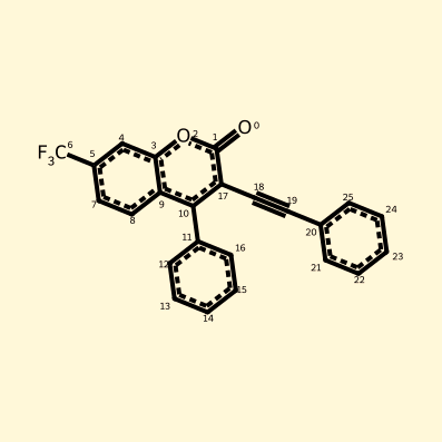 O=c1oc2cc(C(F)(F)F)ccc2c(-c2ccccc2)c1C#Cc1ccccc1